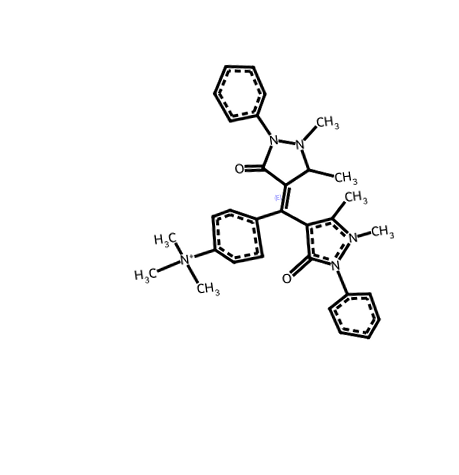 Cc1c(/C(=C2/C(=O)N(c3ccccc3)N(C)C2C)c2ccc([N+](C)(C)C)cc2)c(=O)n(-c2ccccc2)n1C